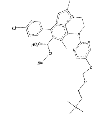 Cc1c([C@H](OC(C)(C)C)C(=O)O)c(-c2ccc(Cl)cc2)c2cc(C)n3c2c1N(c1ncc(OCOCC[Si](C)(C)C)cn1)CC3